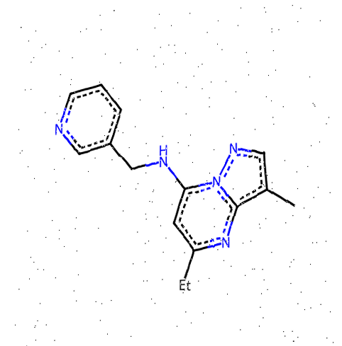 CCc1cc(NCc2cccnc2)n2ncc(C)c2n1